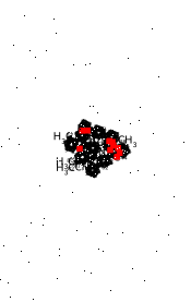 Cc1ccc(-c2c(C)cccc2C)cc1N(c1cc(-c2ccccc2)ccc1-c1ccccc1)c1cc(N(c2cc(-c3c(C)cccc3C)ccc2C)c2cc(-c3ccccc3)ccc2-c2ccccc2)c2c3c1C=CC1=CC(C(C)(C)C)=CC(C=C2)C13